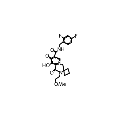 COCCN1C(=O)c2c(O)c(=O)c(C(=O)NCc3ccc(F)cc3F)cn2CC12CCC2